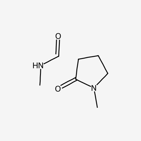 CN1CCCC1=O.CNC=O